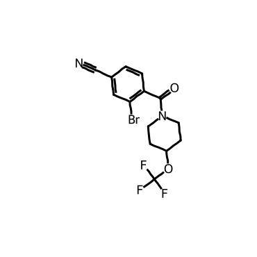 N#Cc1ccc(C(=O)N2CCC(OC(F)(F)F)CC2)c(Br)c1